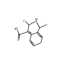 O=C(O)C1=C2C=CCC=C2C(Cl)NC1Cl